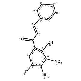 Nc1c(F)cc(C(=O)/C=C/c2ccccn2)c(O)c1[N+](=O)[O-]